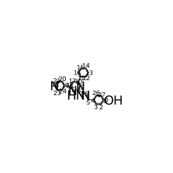 Oc1ccc(C=NNc2nc(-c3ccccc3)cc(-c3ccncc3)n2)cc1